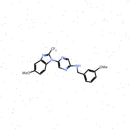 COc1cccc(CNc2cnc(-n3c(C(F)(F)F)nc4cc(OC)ccc43)cn2)c1